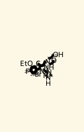 CCOC(=O)C1=C(CN2CCOC(CO)C2)NC(c2nc[nH]n2)=NC1c1ccc(F)cc1Br